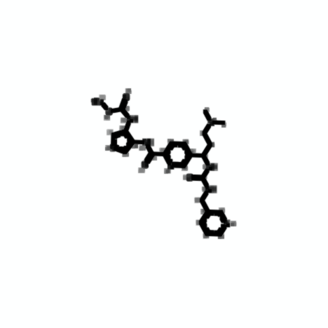 CN(C)CCC(NC(=O)NCc1cccnc1)c1ccc(C(=O)Nc2cscc2NC(=O)OC(C)(C)C)nc1